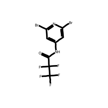 O=C(Nc1cc(Br)nc(Br)c1)C(F)(F)C(F)(F)F